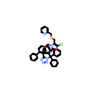 CCCCc1nc(Cl)c(COCc2ccccn2)n1Cc1ccc(-c2ccccc2)c(-c2nnnn2C(c2ccccc2)(c2ccccc2)c2ccccc2)c1